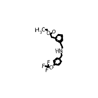 CCOC(=O)Cc1cccc(CNCc2ccc(OC(F)(F)F)cc2)c1